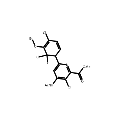 CCOC1=C(Cl)C=CC(c2cc(NC(C)=O)c(Cl)c(C(=O)OC)n2)C1(F)Cl